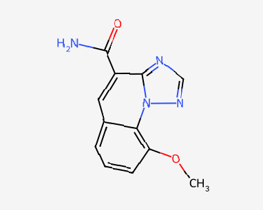 COc1cccc2cc(C(N)=O)c3ncnn3c12